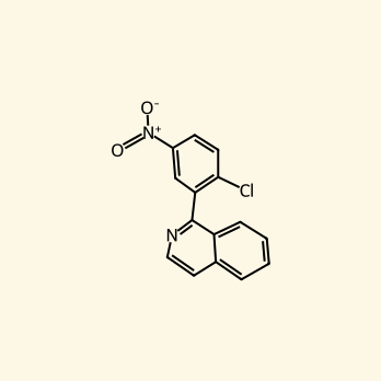 O=[N+]([O-])c1ccc(Cl)c(-c2nccc3ccccc23)c1